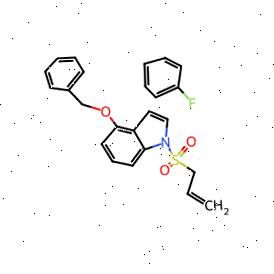 C=CCS(=O)(=O)n1ccc2c(OCc3ccccc3)cccc21.Fc1ccccc1